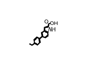 CCc1ccc(-c2ccc3[nH]c(C(=O)O)cc3c2)cc1